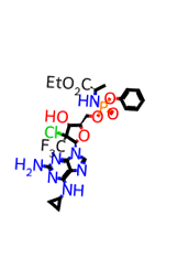 CCOC(=O)[C@H](C)N[P@](=O)(OC[C@H]1O[C@@H](n2cnc3c(NC4CC4)nc(N)nc32)[C@@](Cl)(C(F)(F)F)[C@@H]1O)Oc1ccccc1